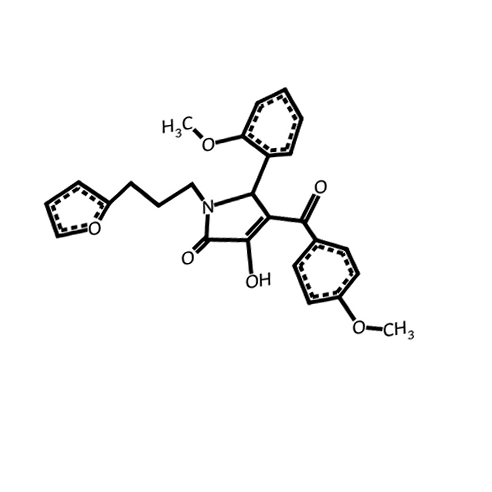 COc1ccc(C(=O)C2=C(O)C(=O)N(CCCc3ccco3)C2c2ccccc2OC)cc1